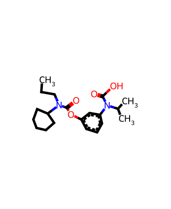 CCCN(C(=O)Oc1cccc(N(C(=O)O)C(C)C)c1)C1CCCCC1